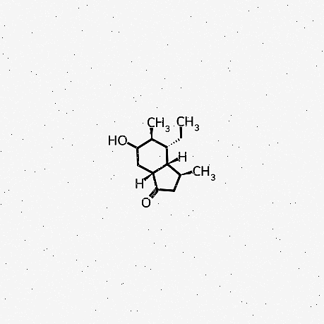 CC[C@@H]1[C@@H]2[C@@H](C)CC(=O)[C@@H]2CC(O)[C@H]1C